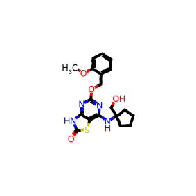 COc1ccccc1COc1nc(NC2(CO)CCCC2)c2sc(=O)[nH]c2n1